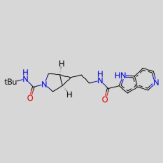 CC(C)(C)NC(=O)N1C[C@@H]2C(CCNC(=O)c3cc4cnccc4[nH]3)[C@@H]2C1